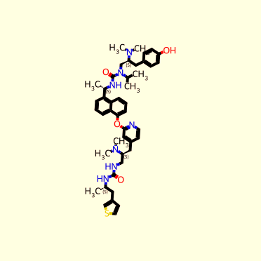 CC(C)N(C[C@H](Cc1ccc(O)cc1)N(C)C)C(=O)N[C@@H](C)c1cccc2c(Oc3cc(C[C@@H](CNC(=O)N[C@@H](C)Cc4ccsc4)N(C)C)ccn3)cccc12